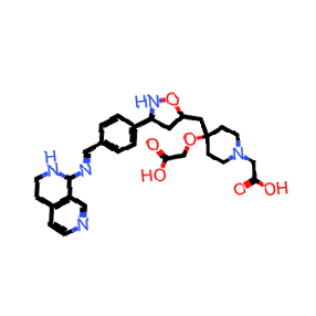 O=C(O)COC1(CC2CC(c3ccc(C=NC4NCCc5ccncc54)cc3)NO2)CCN(CC(=O)O)CC1